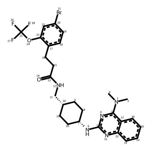 CN(C)c1nc(N[C@H]2CC[C@@H](CNC(=O)CCc3ccc(Br)cc3OC(F)(F)F)CC2)nc2ccccc12